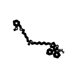 COc1ccccc1COCCCCCC[N+](C)(C)CCCCCCCCN1CCC(C(C(N)=O)(c2ccccc2)c2ccccc2)C1